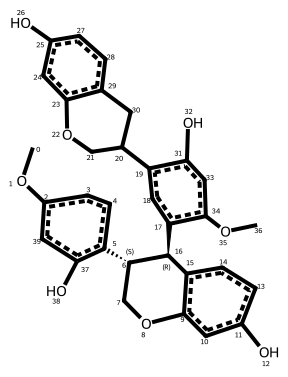 COc1ccc([C@H]2COc3cc(O)ccc3[C@@H]2c2cc(C3COc4cc(O)ccc4C3)c(O)cc2OC)c(O)c1